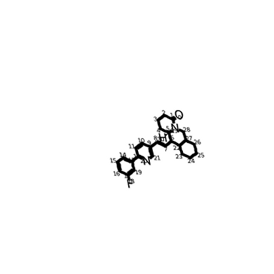 O=C1CCC[C@@H]2C(/C=C/c3ccc(-c4cccc(F)c4)nc3)C3CCCCC3CN12